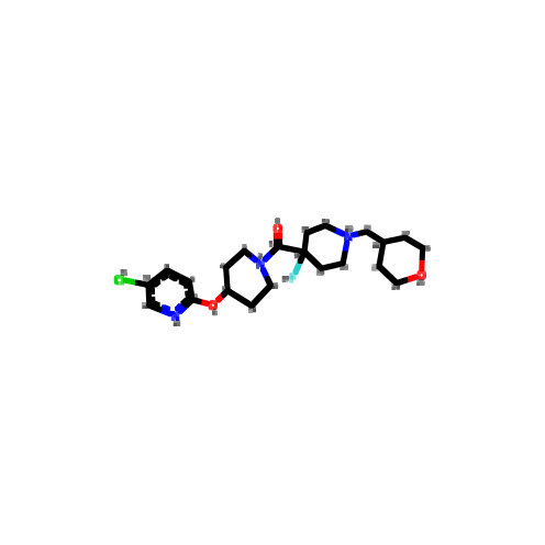 O=C(N1CCC(Oc2ccc(Cl)cn2)CC1)C1(F)CCN(CC2CCOCC2)CC1